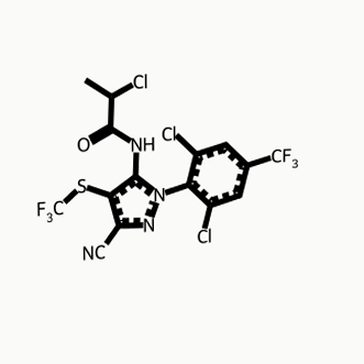 CC(Cl)C(=O)Nc1c(SC(F)(F)F)c(C#N)nn1-c1c(Cl)cc(C(F)(F)F)cc1Cl